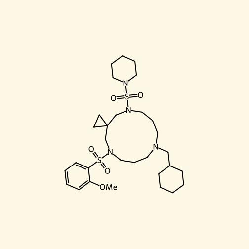 COc1ccccc1S(=O)(=O)N1CCCN(CC2CCCCC2)CCCN(S(=O)(=O)N2CCCCC2)CC2(CC2)C1